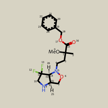 COC(C)(CCN1OC[C@H]2NCC(F)(F)[C@H]21)C(=O)OCc1ccccc1